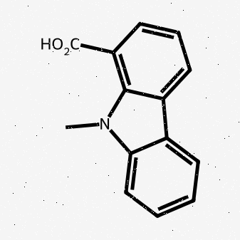 Cn1c2ccccc2c2cccc(C(=O)O)c21